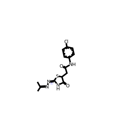 CC(C)=N/N=C1\NC(=O)C(CC(=O)Nc2ccc(Cl)cc2)S1